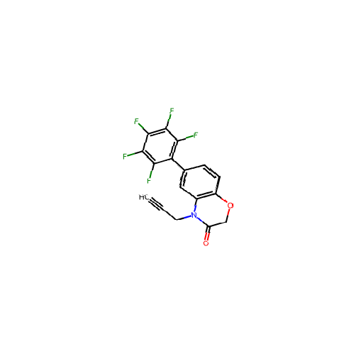 C#CCN1C(=O)COc2ccc(-c3c(F)c(F)c(F)c(F)c3F)cc21